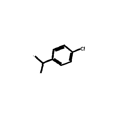 [CH2]C(C)c1ccc(Cl)cc1